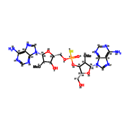 COC1C(O)[C@@H](COP(=O)(S)OC2C(OC)[C@H](n3cnc4c(N)ncnc43)O[C@@H]2CO)O[C@H]1n1cnc2c(N)ncnc21